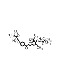 CCc1cc(C=CC(=O)c2ccc(OCOC(=O)C(C)(C)C)cc2)c(OC)c(CC)c1OCOC(=O)C(C)(C)C